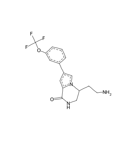 NCCC1CNC(=O)c2cc(-c3cccc(OC(F)(F)F)c3)cn21